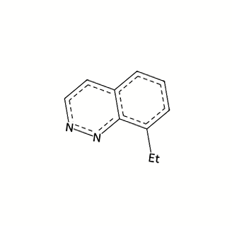 CCc1cccc2ccnnc12